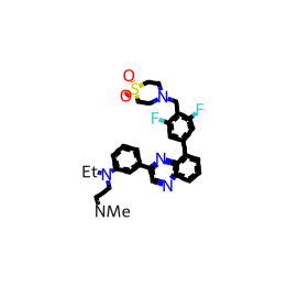 CCN(CCNC)c1cccc(-c2cnc3cccc(-c4cc(F)c(CN5CCS(=O)(=O)CC5)c(F)c4)c3n2)c1